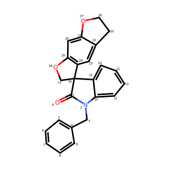 O=C1N(Cc2ccccc2)c2ccccc2C12COc1cc3c(cc12)CCO3